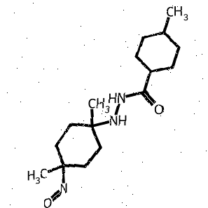 CC1CCC(C(=O)NNC2(C)CCC(C)(N=O)CC2)CC1